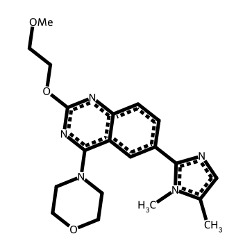 COCCOc1nc(N2CCOCC2)c2cc(-c3ncc(C)n3C)ccc2n1